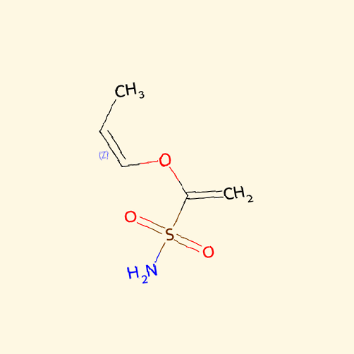 C=C(O/C=C\C)S(N)(=O)=O